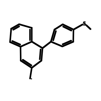 [CH2]c1cc(-c2ccc(SC)cc2)c2ccccc2c1